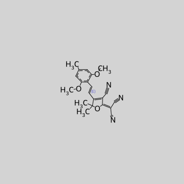 COc1cc(C)cc(OC)c1/C=C/C1=C(C#N)C(=C(C#N)C#N)OC1(C)C